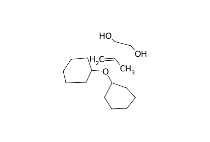 C1CCC(OC2CCCCC2)CC1.C=CC.OCCO